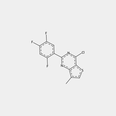 Cc1csc2c(Cl)nc(-c3cc(F)c(F)cc3F)nc12